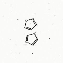 c1cnoc1.c1cscn1